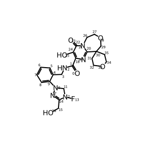 O=C(NCc1ccccc1N1CN(F)C(CO)=N1)c1nc2n(c(=O)c1O)CCOCC21CCOCC1